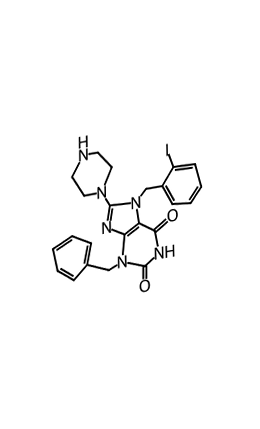 O=c1[nH]c(=O)n(Cc2ccccc2)c2nc(N3CCNCC3)n(Cc3ccccc3I)c12